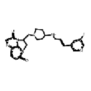 O=c1ccc2ncc(=O)n3c2n1CC3CN1CCC(NC/C=C/c2cncc(F)c2)CC1